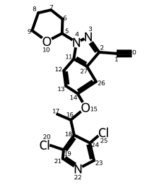 C#Cc1nn(C2CCCCO2)c2ccc(OC(C)c3c(Cl)cncc3Cl)cc12